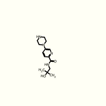 CC(C)(O)CNC(=O)c1ccc(N2CCNCC2)cn1